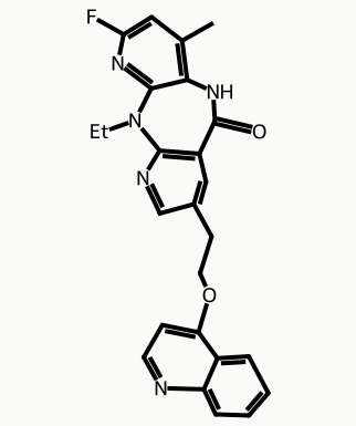 CCN1c2ncc(CCOc3ccnc4ccccc34)cc2C(=O)Nc2c(C)cc(F)nc21